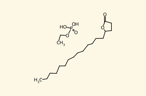 CCCCCCCCCCCCCCC1CCC(=O)O1.CCOP(=O)(O)O